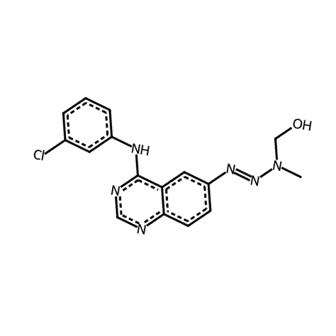 CN(CO)/N=N/c1ccc2ncnc(Nc3cccc(Cl)c3)c2c1